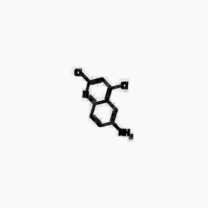 Nc1ccc2nc(Cl)cc(Cl)c2c1